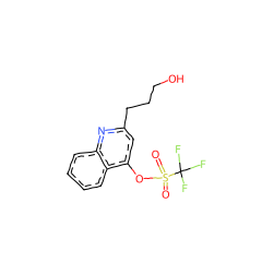 O=S(=O)(Oc1cc(CCCO)nc2ccccc12)C(F)(F)F